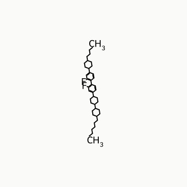 CCCCCCCC1CCC(C2CCC(c3ccc(-c4ccc(C5CCC(CCCCC)CC5)cc4F)c(F)c3)CC2)CC1